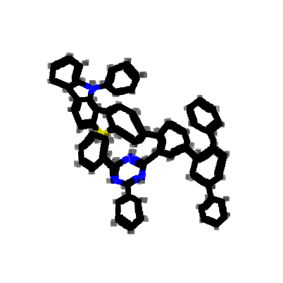 c1ccc(-c2ccc(-c3ccccc3)c(-c3ccc(-c4ccc5c(c4)sc4ccc6c7ccccc7n(-c7ccccc7)c6c45)c(-c4nc(-c5ccccc5)nc(-c5ccccc5)n4)c3)c2)cc1